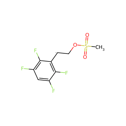 CS(=O)(=O)OC[CH]c1c(F)c(F)cc(F)c1F